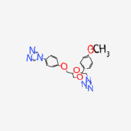 COc1ccc(C2(Cn3cncn3)OCC(COc3ccc(-n4cnnc4)cc3)O2)cc1